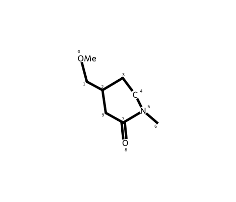 COCC1CCN(C)C(=O)C1